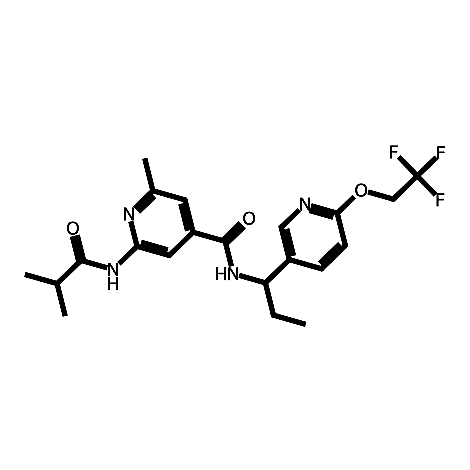 CCC(NC(=O)c1cc(C)nc(NC(=O)C(C)C)c1)c1ccc(OCC(F)(F)F)nc1